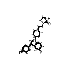 O=C1NCCN1CCN1CCC(N2CC(c3ccc(F)cc3)c3cc(F)ccc32)CC1